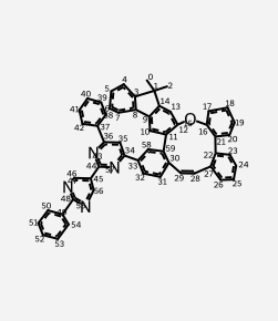 CC1(C)c2ccccc2-c2cc3c(cc21)Oc1ccccc1-c1ccccc1/C=C\c1ccc(-c2cc(-c4ccccc4)nc(-c4cnc(-c5ccccc5)nc4)n2)cc1-3